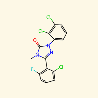 Cn1c(-c2c(F)cccc2Cl)nn(-c2cccc(Cl)c2Cl)c1=O